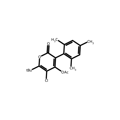 CC(=O)Oc1c(Cl)c(C(C)(C)C)oc(=O)c1-c1c(C)cc(C)cc1C